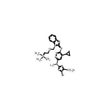 CN(c1cc(C2CC2)c(N=c2sc3ccccc3n2COCC[Si](C)(C)C)nn1)c1nc(C(=O)O)c(Br)s1